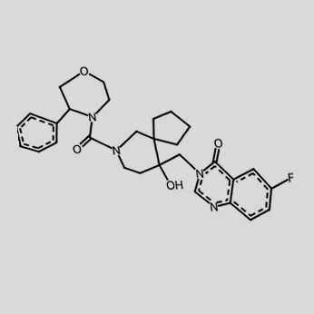 O=C(N1CCC(O)(Cn2cnc3ccc(F)cc3c2=O)C2(CCCC2)C1)N1CCOCC1c1ccccc1